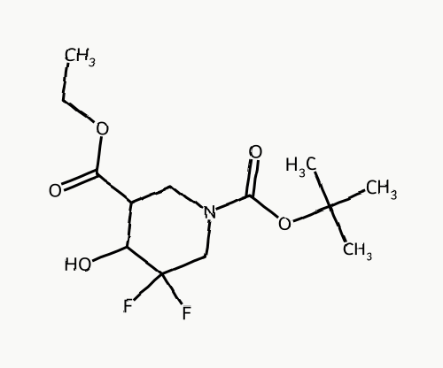 CCOC(=O)C1CN(C(=O)OC(C)(C)C)CC(F)(F)C1O